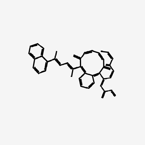 C=CC(=C)/C=C(\C=C/C(=C)/C=C\C)c1c(=C)ccccc(=C)c(/C(C)=C/C=C(\C)c2cccc3ccccc23)c2ccccc12